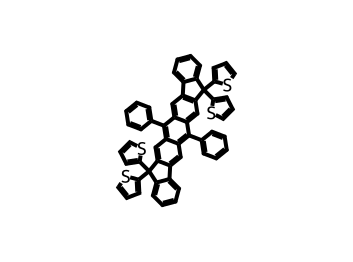 c1ccc(-c2c3cc4c(cc3c(-c3ccccc3)c3cc5c(cc23)C(c2cccs2)(c2cccs2)c2ccccc2-5)C(c2cccs2)(c2cccs2)c2ccccc2-4)cc1